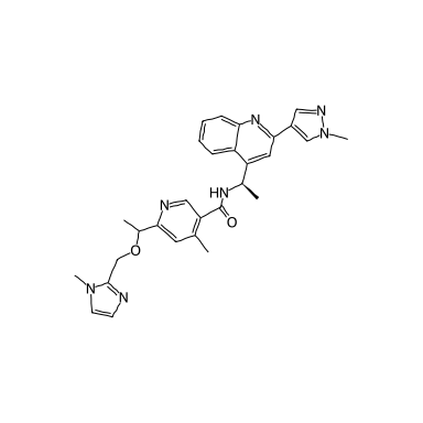 Cc1cc(C(C)OCc2nccn2C)ncc1C(=O)N[C@H](C)c1cc(-c2cnn(C)c2)nc2ccccc12